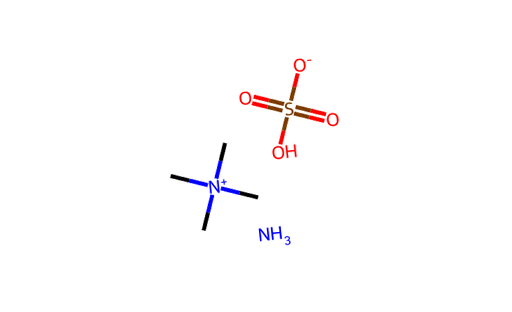 C[N+](C)(C)C.N.O=S(=O)([O-])O